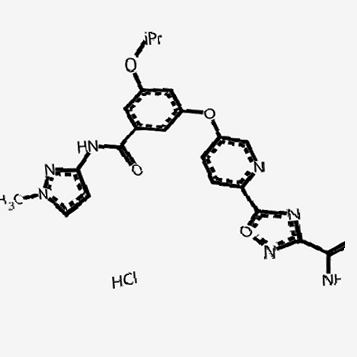 CC(C)Oc1cc(Oc2ccc(-c3nc(C(N)=O)no3)nc2)cc(C(=O)Nc2ccn(C)n2)c1.Cl